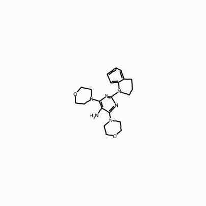 Nc1c(N2CCOCC2)nc(N2CCCc3ccccc32)nc1N1CCOCC1